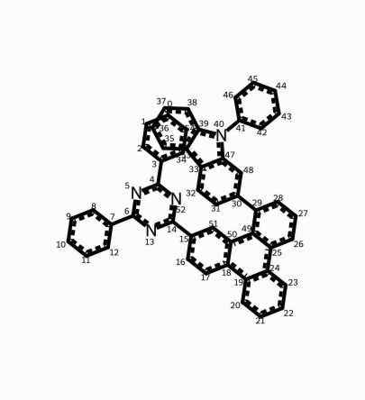 c1ccc(-c2nc(-c3ccccc3)nc(-c3ccc4c5ccccc5c5cccc(-c6ccc7c8ccccc8n(-c8ccccc8)c7c6)c5c4c3)n2)cc1